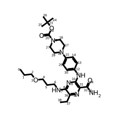 CCCOCCCNc1nc(Nc2ccc(N3CCN(C(=O)OC(C)(C)C)CC3)cc2)c(C(N)=O)nc1CC